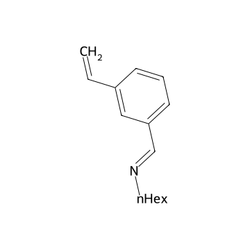 C=Cc1cccc(C=NCCCCCC)c1